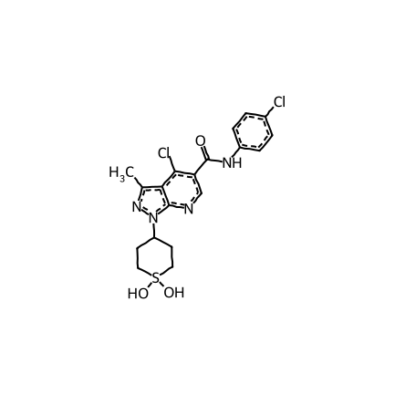 Cc1nn(C2CCS(O)(O)CC2)c2ncc(C(=O)Nc3ccc(Cl)cc3)c(Cl)c12